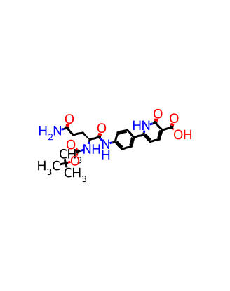 CC(C)(C)OC(=O)N[C@@H](CCC(N)=O)C(=O)Nc1ccc(-c2ccc(C(=O)O)c(=O)[nH]2)cc1